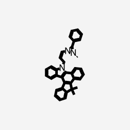 C[N@@]1C(c2ccccc2)N1/C=C\Cn1c2ccccc2c2c3c(c4ccccc4c21)C(C)(C)c1ccccc1-3